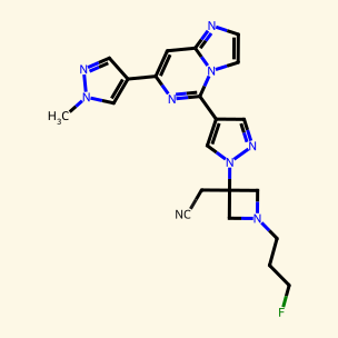 Cn1cc(-c2cc3nccn3c(-c3cnn(C4(CC#N)CN(CCCF)C4)c3)n2)cn1